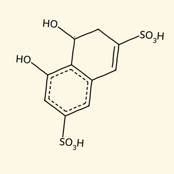 O=S(=O)(O)C1=Cc2cc(S(=O)(=O)O)cc(O)c2[C](O)C1